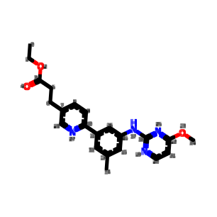 CCOC(=O)CCc1ccc(-c2cc(C)cc(Nc3nccc(OC)n3)c2)nc1